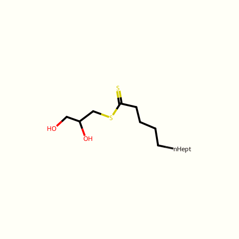 CCCCCCCCCCCC(=S)SCC(O)CO